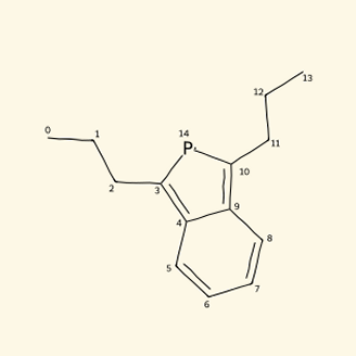 CCCC1=c2ccccc2=C(CCC)[P]1